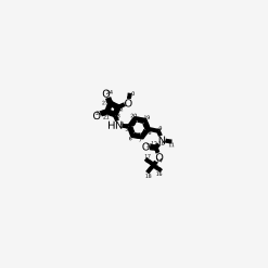 COc1c(Nc2ccc(CN(C)C(=O)OC(C)(C)C)cc2)c(=O)c1=O